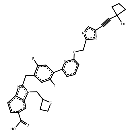 O=C(O)c1ccc2nc(Cc3cc(F)c(-c4cccc(OCc5ncc(C#CC6(O)CCC6)s5)n4)cc3F)n(CC3CCO3)c2c1